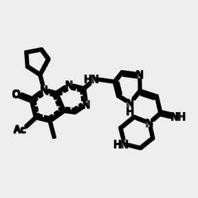 CC(=O)c1c(C)c2cnc(NC3=CN/C(=C\C(=N)N4CCNCC4)N=C3)nc2n(C2CCCC2)c1=O